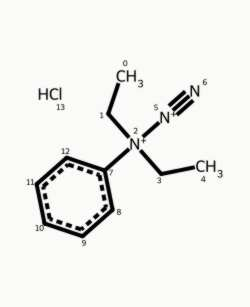 CC[N+](CC)([N+]#N)c1ccccc1.Cl